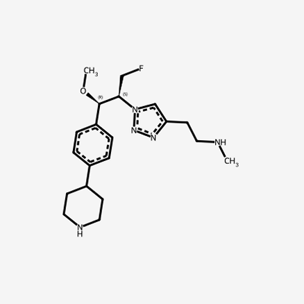 CNCCc1cn([C@H](CF)[C@H](OC)c2ccc(C3CCNCC3)cc2)nn1